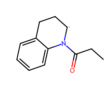 CCC(=O)N1[CH]CCc2ccccc21